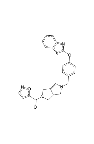 O=C(c1ccno1)N1CC2=CN(Cc3ccc(Oc4nc5ccccc5s4)cc3)CC2C1